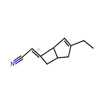 CCC1=CC2/C(=C/C#N)CC2C1